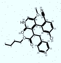 CCCCOC(=O)C(Cc1ccncc1)c1c(-c2cc(Cl)ccc2C#N)c(OC)c[nH]c1=O